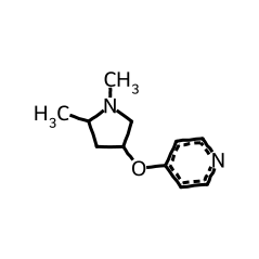 CC1CC(Oc2ccncc2)CN1C